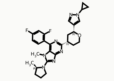 C[C@@H]1CCCN1c1nc2nc([C@H]3CCO[C@@H](c4cnn(C5CC5)c4)C3)nc(-c3ccc(F)cc3F)c2n1C